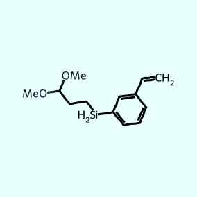 C=Cc1cccc([SiH2]CCC(OC)OC)c1